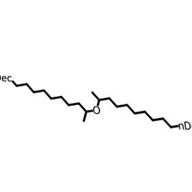 CCCCCCCCCCCCCCCCCCC(C)OC(C)CCCCCCCCCCCCCCCCCC